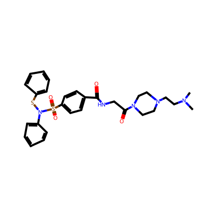 CN(C)CCN1CCN(C(=O)CNC(=O)c2ccc(S(=O)(=O)N(Sc3ccccc3)c3ccccc3)cc2)CC1